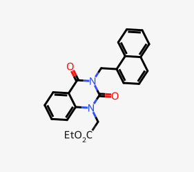 CCOC(=O)Cn1c(=O)n(Cc2cccc3ccccc23)c(=O)c2ccccc21